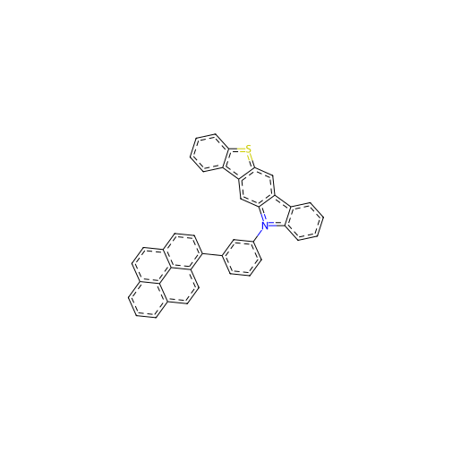 c1cc(-c2ccc3ccc4cccc5ccc2c3c45)cc(-n2c3ccccc3c3cc4sc5ccccc5c4cc32)c1